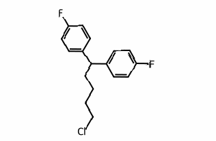 Fc1ccc(C(CCCCCl)c2ccc(F)cc2)cc1